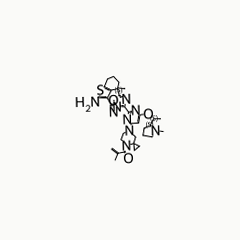 C=C(C)C(=O)N1CCN(c2cc(O[C@@H](C)[C@@H]3CCCN3C)nc(-c3noc([C@@]4(C)CCCc5sc(N)c(C#N)c54)n3)n2)CC12CC2